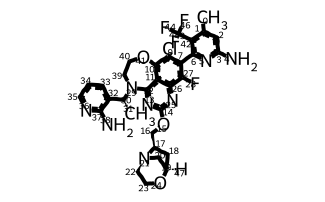 Cc1cc(N)nc(-c2c(Cl)c3c4c(nc(OC[C@H]5C[C@@H]6C[N@@]5CCO6)nc4c2F)N([C@H](C)c2cccnc2N)CCO3)c1C(F)(F)F